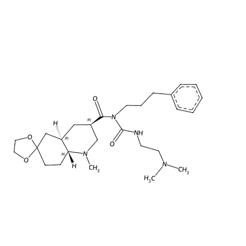 CN(C)CCNC(=O)N(CCCc1ccccc1)C(=O)[C@@H]1C[C@@H]2CC3(CC[C@H]2N(C)C1)OCCO3